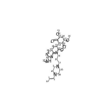 CC=CN1CCN(CCCn2c(=O)c(-c3c(Cl)c(OC)cc(OC)c3Cl)cc3cnc(NC)nc32)CC1